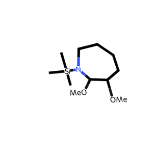 COC1CCCCN([Si](C)(C)C)C1OC